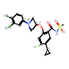 CS(=O)(=O)NC(=O)c1cc(C2CC2)c(F)cc1OC1CN(c2ccc(Cl)c(Cl)c2)C1